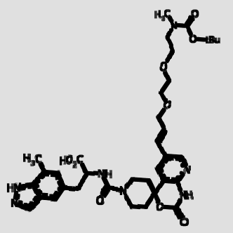 Cc1cc(CC(NC(=O)N2CCC3(CC2)OC(=O)Nc2ncc(C=CCOCCOCCN(C)C(=O)OC(C)(C)C)cc23)C(=O)O)cc2cn[nH]c12